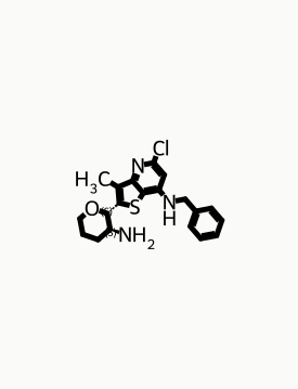 Cc1c([C@H]2OCCC[C@@H]2N)sc2c(NCc3ccccc3)cc(Cl)nc12